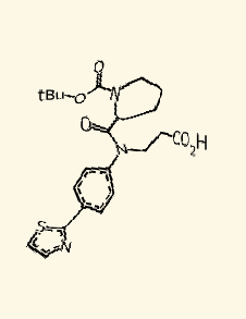 CC(C)(C)OC(=O)N1CCCC1C(=O)N(CCC(=O)O)c1ccc(-c2nccs2)cc1